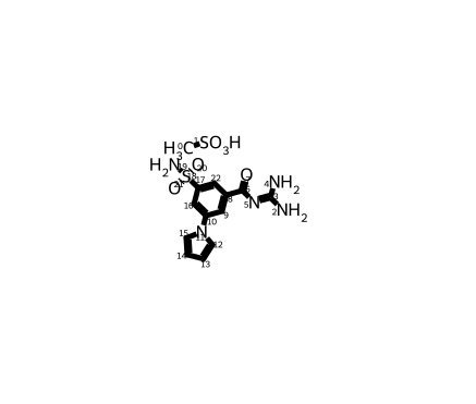 CS(=O)(=O)O.NC(N)=NC(=O)c1cc(-n2cccc2)cc(S(N)(=O)=O)c1